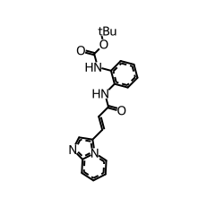 CC(C)(C)OC(=O)Nc1ccccc1NC(=O)C=Cc1cnc2ccccn12